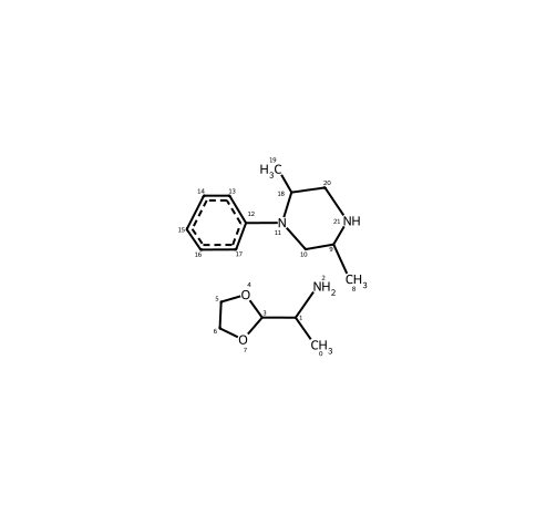 CC(N)C1OCCO1.CC1CN(c2ccccc2)C(C)CN1